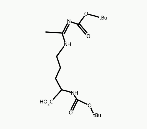 C/C(=N/C(=O)OC(C)(C)C)NCCCC(NC(=O)OC(C)(C)C)C(=O)O